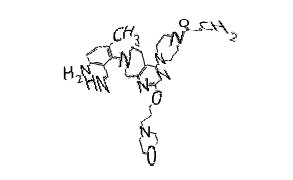 C=CC(=O)N1CCN(c2nc(OCCCN3CCOCC3)nc3c2CCN(c2c(C)ccc(N)c2C=N)C3)CC1